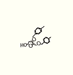 Cc1ccc(COC[C@H]2OC(O)C[C@@H]2OCc2ccc(C)cc2)cc1